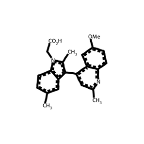 COc1ccc2nc(C)cc(-c3c(C)n(CC(=O)O)c4ccc(C)cc34)c2c1